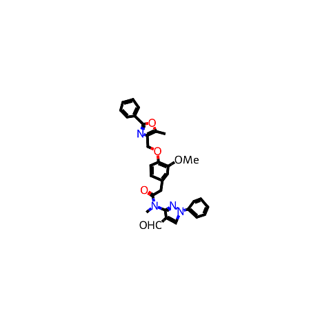 COc1cc(CC(=O)N(C)c2nn(-c3ccccc3)cc2C=O)ccc1OCc1nc(-c2ccccc2)oc1C